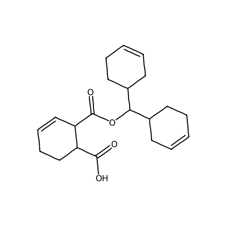 O=C(OC(C1CC=CCC1)C1CC=CCC1)C1C=CCCC1C(=O)O